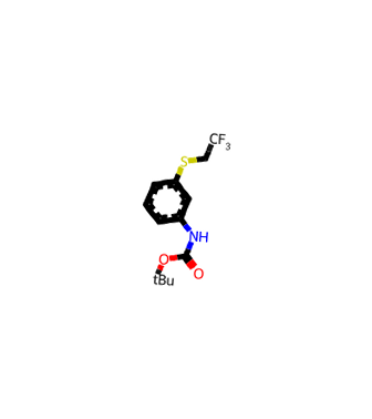 CC(C)(C)OC(=O)Nc1cccc(SCC(F)(F)F)c1